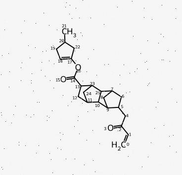 C=CC(=O)CC1CC2CC1C1C3CC(C(=O)OC4=CCC(C)C4)C(C3)C21